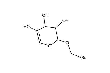 CCC(C)COC1OC=C(O)C(O)C1O